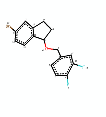 Fc1ccc(COC2CCc3cc(Br)ccc32)cc1F